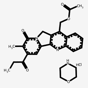 C1COCCN1.CCC(=O)c1cc2n(c(=O)c1C)Cc1c-2nc2ccccc2c1COC(C)=O.Cl